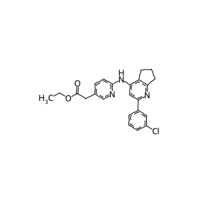 CCOC(=O)Cc1ccc(Nc2cc(-c3cccc(Cl)c3)nc3c2CCC3)nc1